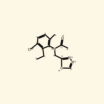 CCc1c(Cl)ccc(C)c1N(Cc1nnco1)C(C)=O